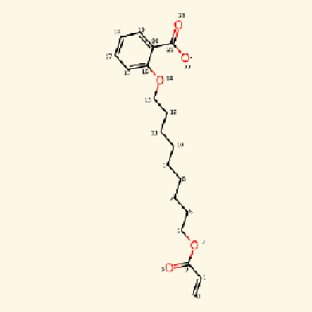 C=CC(=O)OCCCCCCCCCOc1ccccc1C([O])=O